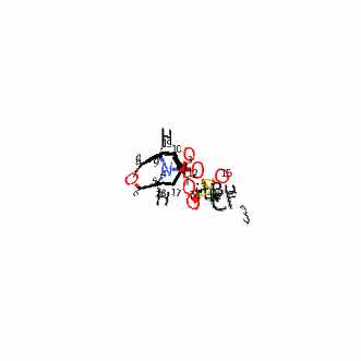 CC(C)(C)OC(=O)N1[C@@H]2COC[C@H]1C=C(OS(=O)(=O)C(F)(F)F)C2